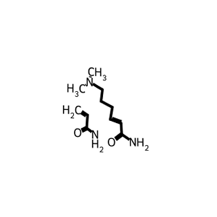 C=CC(N)=O.CN(C)CCCC=CC(N)=O